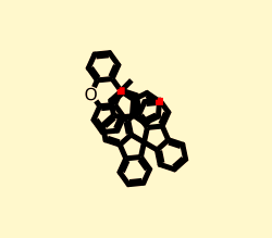 CC1(c2ccccc2)c2ccccc2Oc2cccc(-c3cccc4c3C3(c5ccccc5-4)c4ccccc4-c4ccc5ccccc5c43)c21